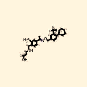 Bc1cc(/C(C)=N/OCc2ccc(C3CCCCC3)c(C(F)(F)F)c2)ccc1CNCCC(=O)O